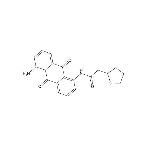 NC1C=CC=C2C(=O)c3c(NC(=O)CC4CCCS4)cccc3C(=O)C21